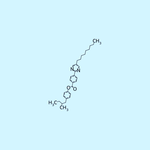 CCCCCCCCCc1cnc(-c2ccc(C(=O)Oc3ccc(CC(C)CC)cc3)cc2)nc1